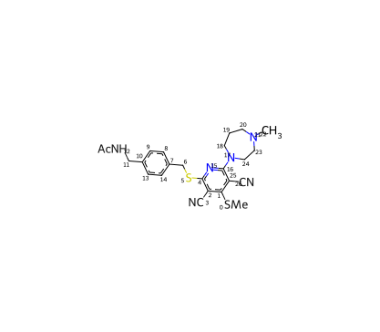 CSc1c(C#N)c(SCc2ccc(CNC(C)=O)cc2)nc(N2CCCN(C)CC2)c1C#N